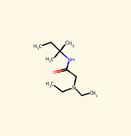 CC[Si](CC)CC(=O)NC(C)(C)CC